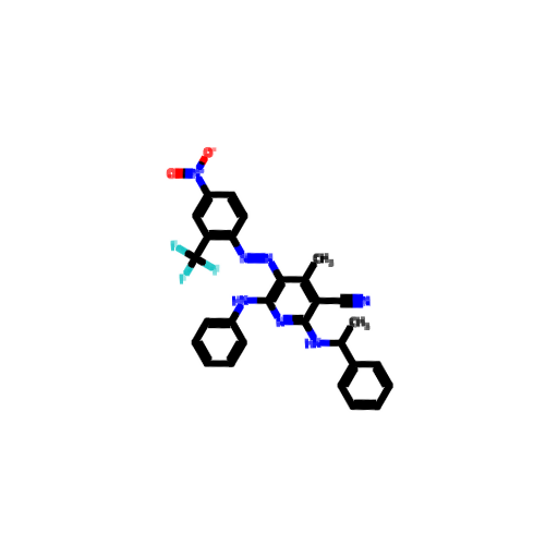 Cc1c(C#N)c(NC(C)c2ccccc2)nc(Nc2ccccc2)c1N=Nc1ccc([N+](=O)[O-])cc1C(F)(F)F